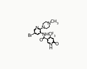 CN1CCN(c2ncc(Br)cc2NC(=O)c2c[nH]c(=O)cc2C(F)(F)F)CC1